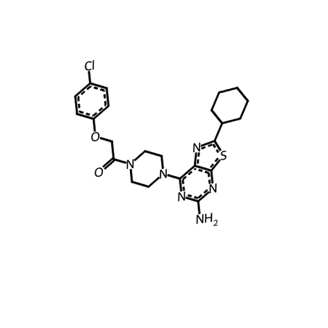 Nc1nc(N2CCN(C(=O)COc3ccc(Cl)cc3)CC2)c2nc(C3CCCCC3)sc2n1